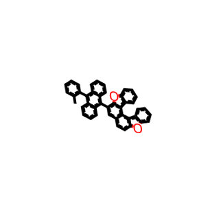 Cc1ccccc1-c1c2ccccc2c(-c2cc3ccc4oc5ccccc5c4c3c3c2oc2ccccc23)c2ccccc12